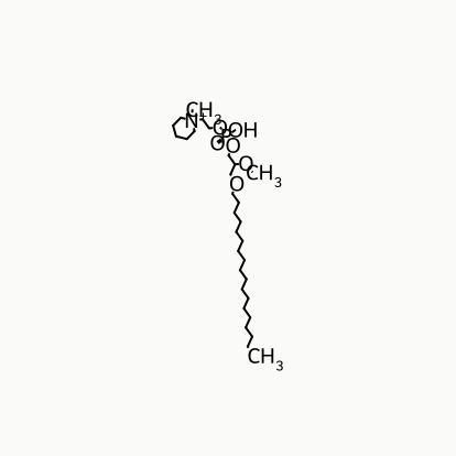 CCCCCCCCCCCCCCCCCCOCC(COP(=O)(O)OCC[N+]1(C)CCCCC1)OC